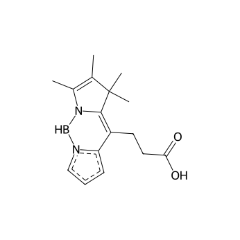 CC1=C(C)C(C)(C)C2=C(CCC(=O)O)c3cccn3BN12